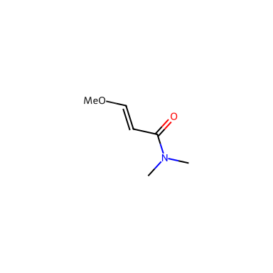 COC=CC(=O)N(C)C